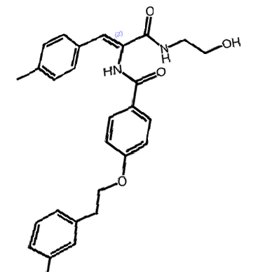 Cc1ccc(/C=C(\NC(=O)c2ccc(OCCc3cccc(C)c3)cc2)C(=O)NCCO)cc1